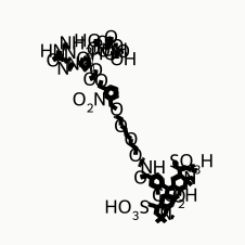 CN1c2cc3c(cc2C(CS(=O)(=O)O)=CC1(C)C)C(c1ccc(C(=O)NCCOCCOCCOCCOCc2cccc(COC(=O)O[C@@H]4C[C@H](n5cnc6c(=O)[nH]c(N)nc65)O[C@@H]4COP(=O)(O)OP(=O)(O)OP(=O)(O)O)c2[N+](=O)[O-])cc1C(=O)O)=C1C=C2C(CS(=O)(=O)O)=CC(C)(C)N(C)C2(C)C=C1O3